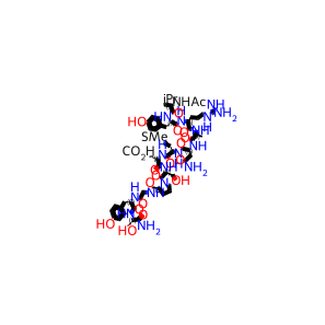 CSCC[C@H](NC(=O)[C@H](CC(N)=O)NC(=O)[C@H](C)NC(=O)[C@H](CCCNC(=N)N)NC(=O)[C@H](Cc1ccc(O)cc1)NC(=O)[C@H](CC(C)C)NC(C)=O)C(=O)N[C@@H](CC(=O)O)C(=O)N[C@@H](CO)C(=O)N1CCC[C@H]1C(=O)NCC(=O)N[C@@H](Cc1ccc(O)cc1)C(=O)N[C@@H](CO)C(N)=O